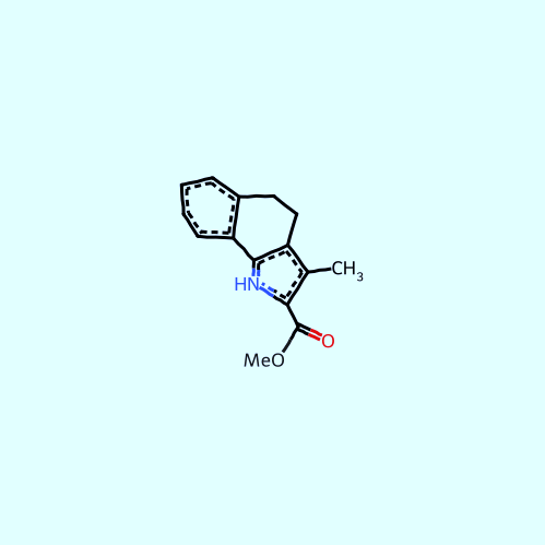 COC(=O)c1[nH]c2c(c1C)CCc1ccccc1-2